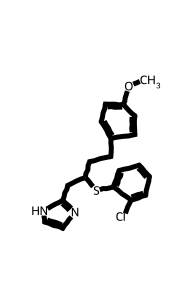 COc1ccc(CCC(Cc2ncc[nH]2)Sc2ccccc2Cl)cc1